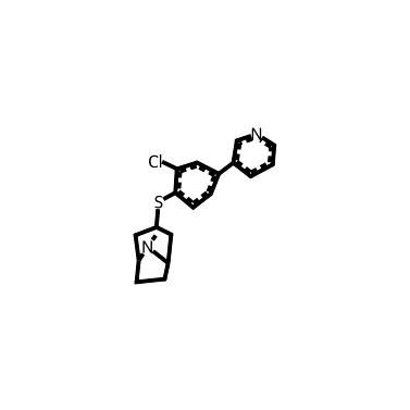 CN1C2CCC1CC(Sc1ccc(-c3cccnc3)cc1Cl)C2